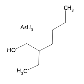 CCCCC(CC)CO.[AsH3]